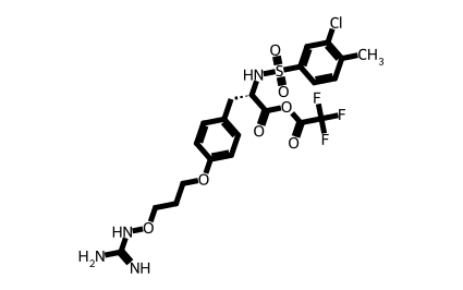 Cc1ccc(S(=O)(=O)N[C@@H](Cc2ccc(OCCCONC(=N)N)cc2)C(=O)OC(=O)C(F)(F)F)cc1Cl